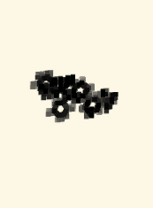 Nc1ccc(-c2cncc(C(F)(F)F)c2)nc1N(C(=O)Nc1ccccn1)C1CCCCC1